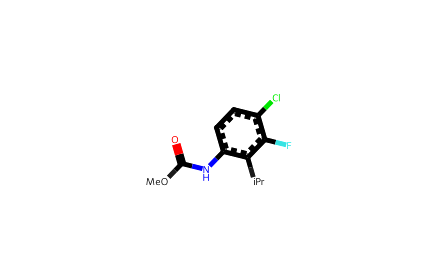 COC(=O)Nc1ccc(Cl)c(F)c1C(C)C